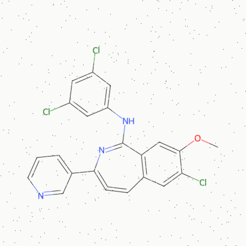 COc1cc2c(cc1Cl)C=C=C(c1cccnc1)N=C2Nc1cc(Cl)cc(Cl)c1